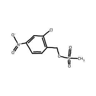 CS(=O)(=O)OCc1ccc([N+](=O)[O-])cc1Cl